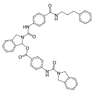 O=C(NCCCc1ccccc1)c1ccc(NC(=O)N2Cc3ccccc3C2OC(=O)c2ccc(NC(=O)N3Cc4ccccc4C3)cc2)cc1